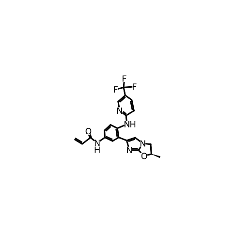 C=CC(=O)Nc1ccc(Nc2ccc(C(F)(F)F)cn2)c(-c2cn3c(n2)O[C@H](C)C3)c1